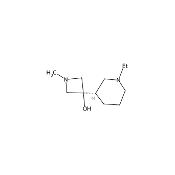 CCN1CCC[C@H](C2(O)CN(C)C2)C1